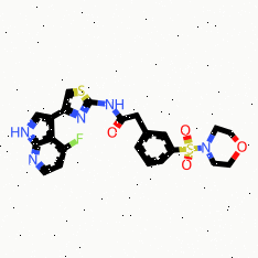 O=C(Cc1cccc(S(=O)(=O)N2CCOCC2)c1)Nc1nc(-c2c[nH]c3nccc(F)c23)cs1